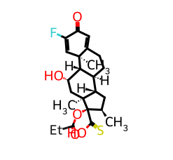 CCC(=O)O[C@]1(C(O)=S)[C@H](C)C[C@H]2[C@@H]3CCC4=CC(=O)C(F)=C[C@]4(C)[C@H]3[C@@H](O)C[C@@]21C